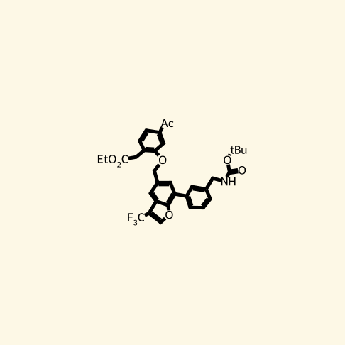 CCOC(=O)Cc1ccc(C(C)=O)cc1OCc1cc(-c2cccc(CNC(=O)OC(C)(C)C)c2)c2occ(C(F)(F)F)c2c1